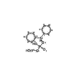 CCCCCCCCOP(=O)(O)O[SH](c1ccccc1)c1ccccc1